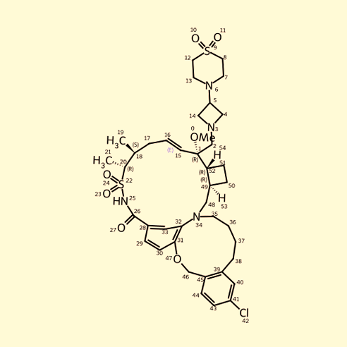 CO[C@@]1(CN2CC(N3CCS(=O)(=O)CC3)C2)/C=C/C[C@H](C)[C@@H](C)S(=O)(=O)NC(=O)c2ccc3c(c2)N(CCCCc2cc(Cl)ccc2CO3)C[C@@H]2CC[C@H]21